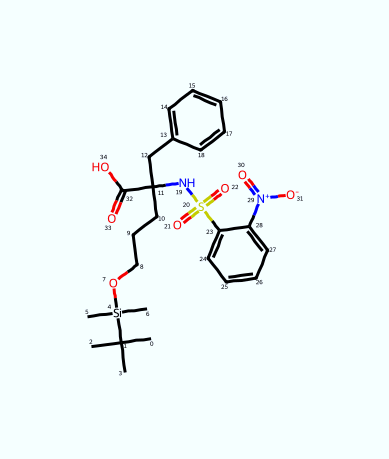 CC(C)(C)[Si](C)(C)OCCCC(Cc1ccccc1)(NS(=O)(=O)c1ccccc1[N+](=O)[O-])C(=O)O